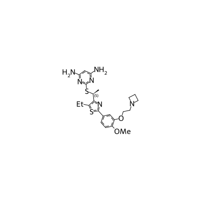 CCc1sc(-c2ccc(OC)c(OCCN3CCC3)c2)nc1[C@H](C)Sc1nc(N)cc(N)n1